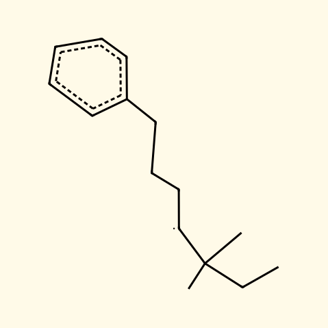 CCC(C)(C)[CH]CCCc1ccccc1